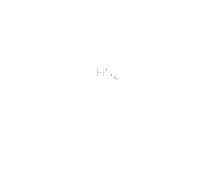 c1ccc([C@H]2CCCC[C@@H]2NC2CC2)cc1